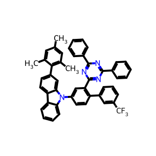 Cc1cc(C)c(-c2ccc3c4ccccc4n(-c4ccc(-c5cccc(C(F)(F)F)c5)c(-c5nc(-c6ccccc6)nc(-c6ccccc6)n5)c4)c3c2)c(C)c1